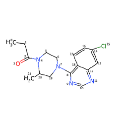 CCC(=O)N1CCN(c2ncnc3cc(Cl)ccc23)CC1C